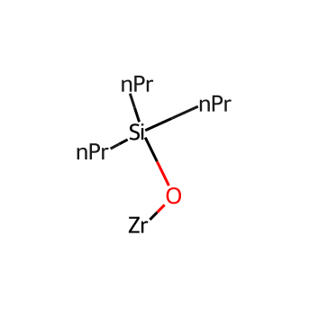 CCC[Si](CCC)(CCC)[O][Zr]